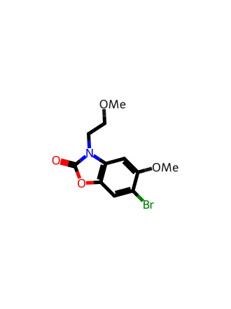 COCCn1c(=O)oc2cc(Br)c(OC)cc21